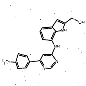 OCc1cc2cccc(Nc3cc(-c4ccc(C(F)(F)F)cc4)ncn3)c2[nH]1